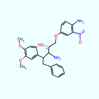 COc1ccc(C(Cc2ccccc2)C(N)[C@H](O)COc2ccc(N)c([N+](=O)[O-])c2)cc1OC